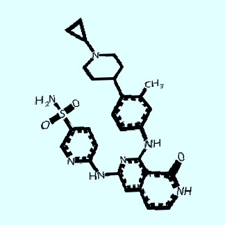 Cc1cc(Nc2nc(Nc3ccc(S(N)(=O)=O)cn3)cc3cc[nH]c(=O)c23)ccc1C1CCN(C2CC2)CC1